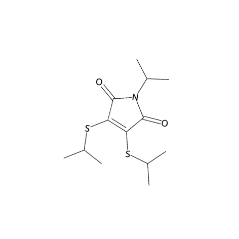 CC(C)SC1=C(SC(C)C)C(=O)N(C(C)C)C1=O